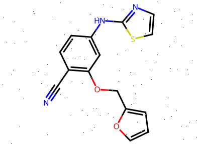 N#Cc1ccc(Nc2nccs2)cc1OCc1ccco1